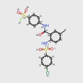 Cc1ccc(NS(=O)(=O)c2ccc(Cl)cc2)c(C(=O)Nc2ccc(S(=O)(=O)F)cc2)c1